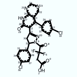 O=C(O)CC(F)(F)C(=O)N1N=C(c2c(-c3ccc(Cl)cc3)c3cncnc3[nH]c2=O)CC1c1ccc(Cl)cc1